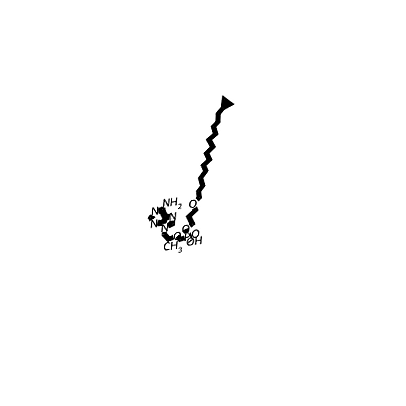 C[C@H](Cn1cnc2c(N)ncnc21)OCP(=O)(O)OCCCOCCCCCCCCCCCCCCC1CC1